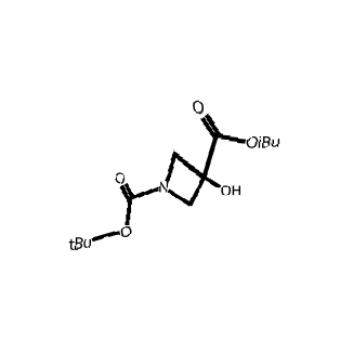 CC(C)COC(=O)C1(O)CN(C(=O)OC(C)(C)C)C1